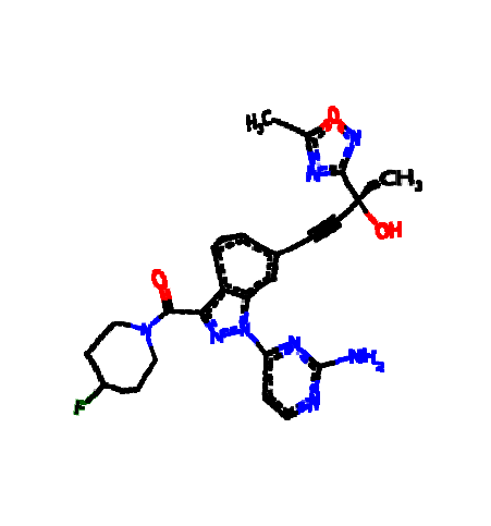 Cc1nc([C@](C)(O)C#Cc2ccc3c(C(=O)N4CCC(F)CC4)nn(-c4ccnc(N)n4)c3c2)no1